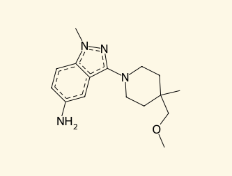 COCC1(C)CCN(c2nn(C)c3ccc(N)cc23)CC1